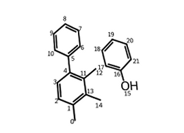 Cc1ccc(-c2ccccc2)c(C)c1C.Oc1ccccc1